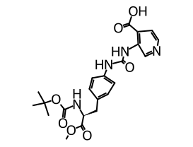 COC(=O)[C@H](Cc1ccc(NC(=O)Nc2cnccc2C(=O)O)cc1)NC(=O)OC(C)(C)C